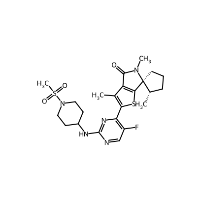 Cc1c(-c2nc(NC3CCN(S(C)(=O)=O)CC3)ncc2F)sc2c1C(=O)N(C)[C@]21CCC[C@@H]1C